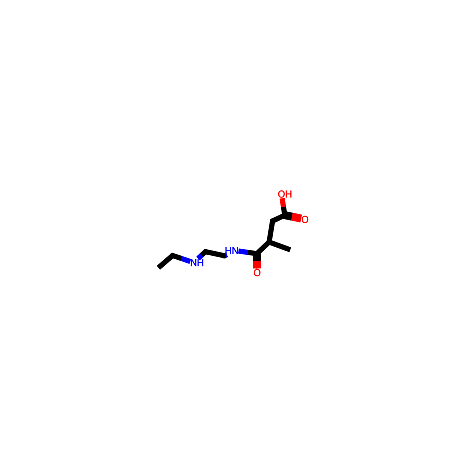 CCNCCNC(=O)C(C)CC(=O)O